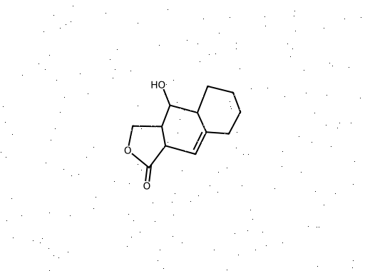 O=C1OCC2C1C=C1CCCCC1C2O